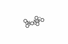 c1ccc2c(c1)Cc1cccc3c1B2c1cccc2c4cc5c6cccc7c8ccccc8n(c5cc4n-3c12)c76